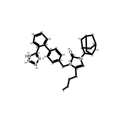 CCCCc1cn(C2C3CC4CC(C3)CC2C4)c(=O)n1Cc1ccc(-c2ccccc2-c2nnn[nH]2)cc1